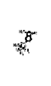 CC(=O)n1cc(C)c2cc(B3OC(C)(C)C(C)(C)O3)ccc21